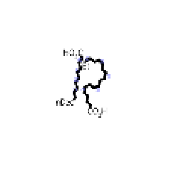 CC/C=C\C/C=C\C/C=C\C/C=C\C/C=C\CCCC(=O)O.CCCCCCCCCCC/C=C/C=C/C=C/C=C/C(=O)O